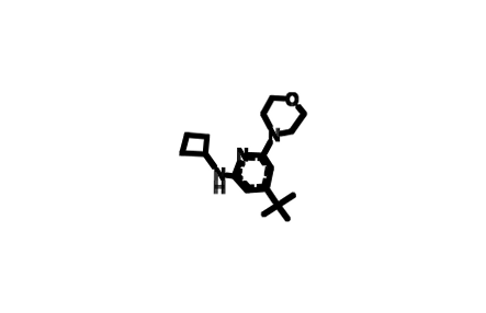 CC(C)(C)c1cc(NC2CCC2)nc(N2CCOCC2)c1